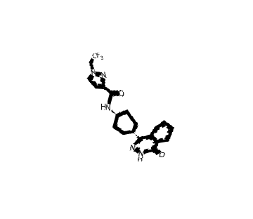 O=C(N[C@H]1CC[C@@H](c2n[nH]c(=O)c3ccccc32)CC1)c1ccn(CC(F)(F)F)n1